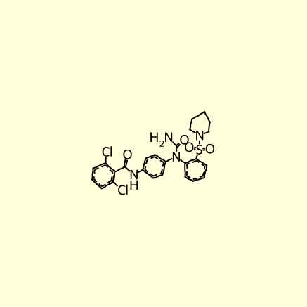 NC(=O)N(c1ccc(NC(=O)c2c(Cl)cccc2Cl)cc1)c1ccccc1S(=O)(=O)N1CCCCC1